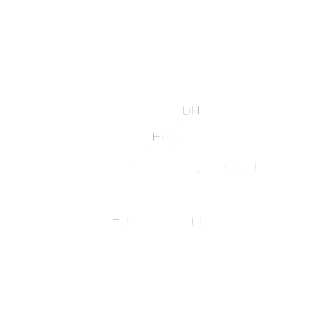 CCC(C(C(=O)O)C(=O)O)C(C)C1CCCCC1.[LiH]